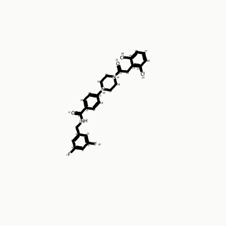 O=C(NCc1cc(F)cc(F)c1)c1ccc(N2CCN(C(=O)Cc3c(Cl)cccc3Cl)CC2)cc1